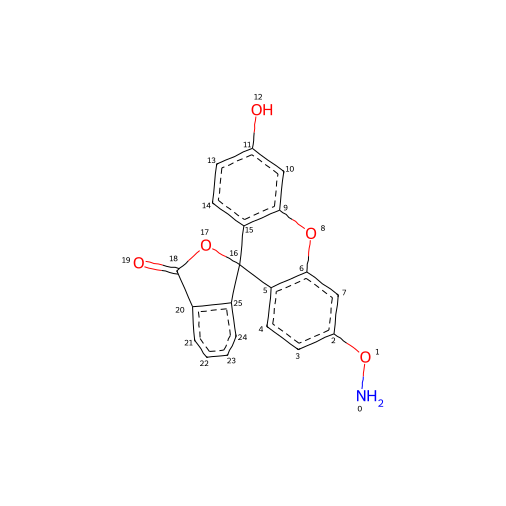 NOc1ccc2c(c1)Oc1cc(O)ccc1C21OC(=O)c2ccccc21